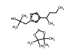 CC1(C)O[B]OC1(C)C.CCCC(C)c1cnn(CC(C)(C)O)c1